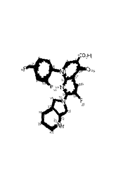 O=C(O)c1cn(-c2ccc(F)cc2F)c2nc(N3CC4=CCCNC4C3)c(F)cc2c1=O